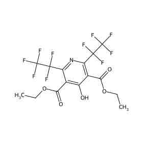 CCOC(=O)c1c(C(F)(F)C(F)(F)F)nc(C(F)(F)C(F)(F)F)c(C(=O)OCC)c1O